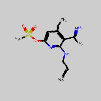 C=CCNc1nc(OS(=O)(=O)C(F)(F)F)cc(C(F)(F)F)c1C(C)=N